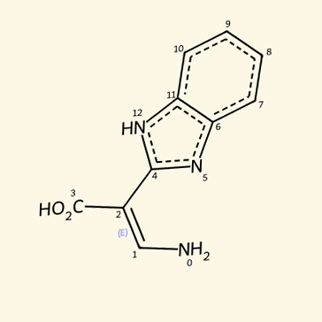 N/C=C(/C(=O)O)c1nc2ccccc2[nH]1